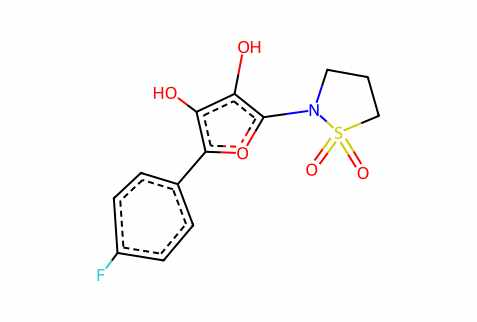 O=S1(=O)CCCN1c1oc(-c2ccc(F)cc2)c(O)c1O